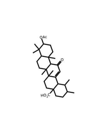 CC(=O)OC1CCC2(C)C(CCC3(C)C2C(=O)C=C2C4C(C)C(C)CCC4(C(=O)O)CCC23C)C1(C)C